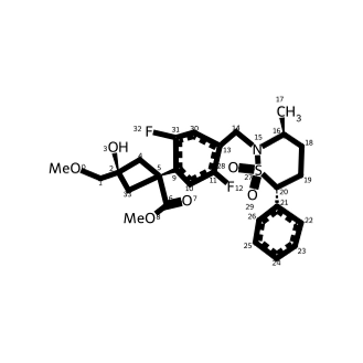 COC[C@]1(O)C[C@@](C(=O)OC)(c2cc(F)c(CN3[C@@H](C)CC[C@H](c4ccccc4)S3(=O)=O)cc2F)C1